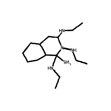 CCNC1CC2CCCCC2C([SiH3])(NCC)N1NCC